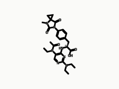 CCN(CC)c1ncc(N(CC)C(C)=O)c(N[C@@H](Cc2ccc(N3C(=O)N(C)C4(CC4)C3=O)cc2)C(=O)O)n1